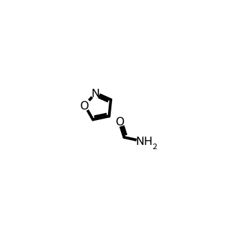 NC=O.c1cnoc1